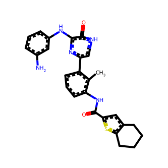 Cc1c(NC(=O)c2cc3c(s2)CCCC3)cccc1-c1c[nH]c(=O)c(Nc2cccc(N)c2)n1